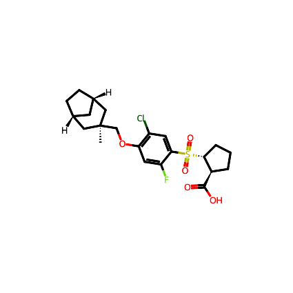 C[C@]1(COc2cc(F)c(S(=O)(=O)[C@@H]3CCC[C@H]3C(=O)O)cc2Cl)C[C@@H]2CC[C@@H](C2)C1